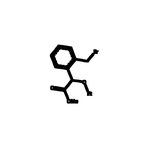 CCOC(C(=O)OC)c1ccccc1CBr